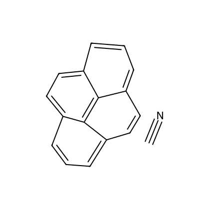 C#N.c1cc2ccc3cccc4ccc(c1)c2c34